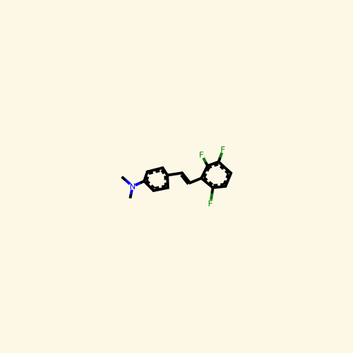 CN(C)c1ccc(/C=C/c2c(F)ccc(F)c2F)cc1